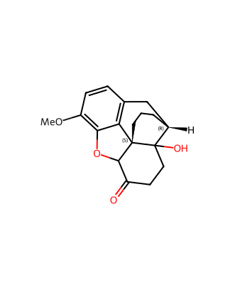 COc1ccc2c3c1OC1C(=O)CCC4(O)[C@H](CCC[C@]314)C2